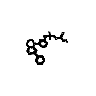 CC(C)(COC(N)=O)Nc1nccc(N2CCCc3cnc(-c4ccccc4)cc32)n1